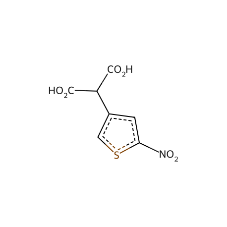 O=C(O)C(C(=O)O)c1csc([N+](=O)[O-])c1